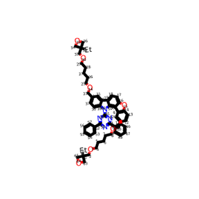 CCC1(COCCCCCOCc2ccc3oc4ccc5c6cc(COCCCCCOCC7(CC)COC7)ccc6n(-c6nc(-c7ccccc7)nc(-c7ccccc7)n6)c5c4c3c2)COC1